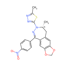 Cc1nnc(N2N=C(c3ccc([N+](=O)[O-])cc3)c3cc4c(cc3C[C@H]2C)OCO4)s1